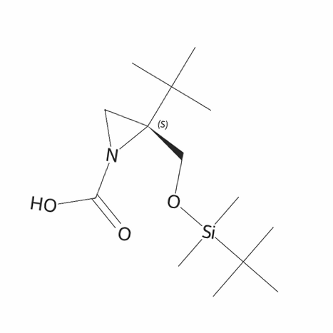 CC(C)(C)[C@@]1(CO[Si](C)(C)C(C)(C)C)CN1C(=O)O